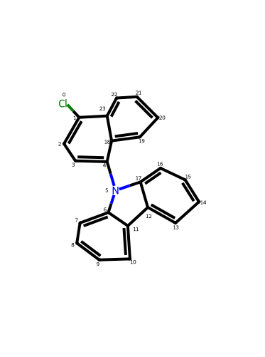 Clc1ccc(-n2c3ccccc3c3ccccc32)c2ccccc12